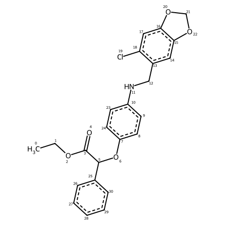 CCOC(=O)C(Oc1ccc(NCc2cc3c(cc2Cl)OCO3)cc1)c1ccccc1